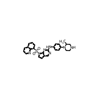 CC1CNCCN1c1ccc(Nc2ncc3ccn(S(=O)(=O)c4cccc5cccnc45)c3n2)cc1